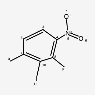 Cc1ccc([N+](=O)[O-])c(C)c1I